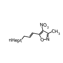 CCCCCCCC/C=C/c1onc(C)c1[N+](=O)[O-]